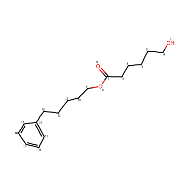 O=C(CCCCCO)OCCCCCc1ccccc1